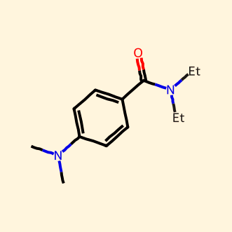 [CH2]CN(CC)C(=O)c1ccc(N(C)C)cc1